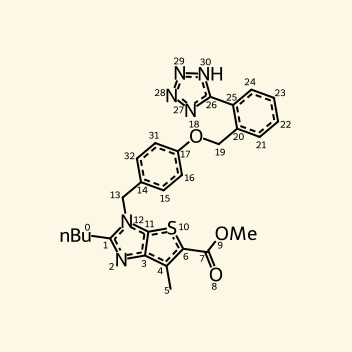 CCCCc1nc2c(C)c(C(=O)OC)sc2n1Cc1ccc(OCc2ccccc2-c2nnn[nH]2)cc1